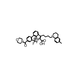 Cc1ccc2c(c1)CCCN2CCCCc1c(C(=O)O)[nH]c2c(-c3ccc(C(=O)N4CCOCC4)cc3C(F)(F)F)cccc12